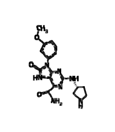 COc1cccc(-n2c(=O)[nH]c3c(C(N)=O)nc(N[C@@H]4CCNC4)nc32)c1